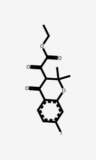 CCOC(=O)C(=O)C1C(=O)c2ccc(I)cc2OC1(C)C